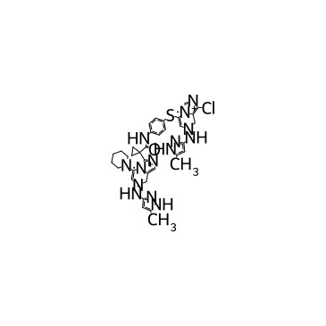 Cc1cc(NN2C=C(N3CCCCC3)[N+]3C(=CN=C3C3(C(=O)Nc4ccc(SC5=CN(Nc6cc(C)[nH]n6)CC6=C(Cl)N=C[N+]56)cc4)CC3)C2)n[nH]1